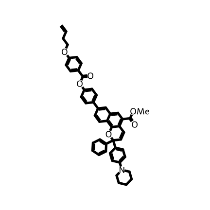 C=CCCOc1ccc(C(=O)Oc2ccc(-c3ccc4c5c(c(C(=O)OC)cc4c3)C=CC(c3ccccc3)(c3ccc(N4CCCCC4)cc3)O5)cc2)cc1